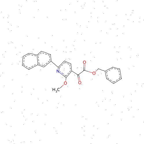 COc1nc(-c2ccc3ccccc3c2)ccc1C(=O)C(=O)OCc1ccccc1